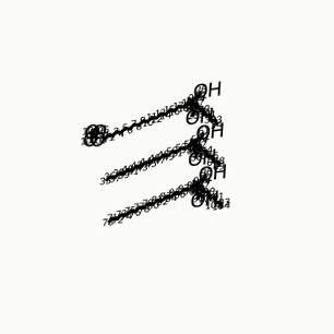 CCCCCCCCCCCCCCCCCCCC[N+](CCO)(CCO)CCCCCCCC.CCCCCCCCCCCCCCCCCCCC[N+](CCO)(CCO)CCCCCCCC.CCCCCCCCCCCCCCCCCCCC[N+](CCO)(CCO)CCCCCCCC.O=P([O-])([O-])[O-]